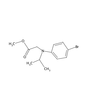 COC(=O)CN(c1ccc(Br)cc1)C(C)C